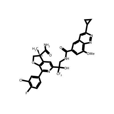 COc1cc(C(=O)NCC(O)(c2cc3c(c(-c4ccc(F)c(Cl)c4)n2)OC[C@]3(C)C(N)=O)C(F)(F)F)cc2cc(C3CC3)nnc12